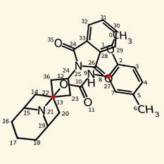 COc1ccc(C)cc1NC(=O)OC1CC2CCCC(C1)N2C1CC(N2C(=O)c3ccccc3C2=O)C1